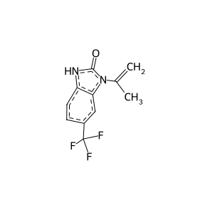 C=C(C)n1c(=O)[nH]c2ccc(C(F)(F)F)cc21